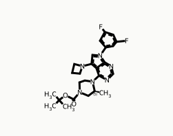 C[C@H]1CN(C(=O)OC(C)(C)C)CCN1c1ncnc2c1c(N1CCC1)cn2-c1cc(F)cc(F)c1